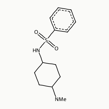 CNC1CCC(NS(=O)(=O)c2ccccc2)CC1